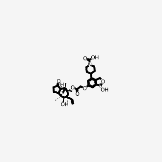 C=C[C@]1(C)C[C@@H](OC(=O)COc2cc3c(c(C4CCN(C(=O)O)CC4)c2)COB3O)[C@]2(C)[C@H](C)CC[C@]3(CCC(=O)[C@H]32)[C@@H](C)[C@@H]1O